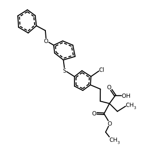 CCOC(=O)C(CC)(CCc1ccc(Sc2cccc(OCc3ccccc3)c2)cc1Cl)C(=O)O